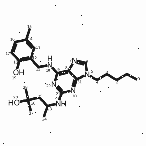 CCCCCn1cnc2c(NCc3cc(C)ccc3O)nc(NC(C)CC(C)(C)O)nc21